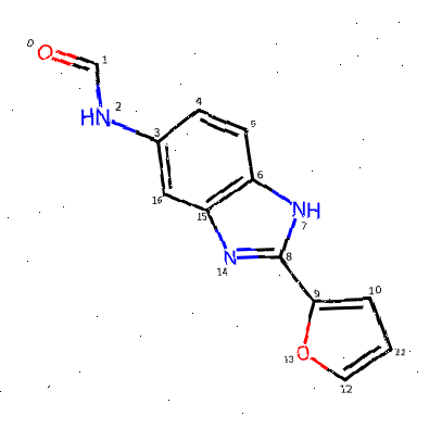 O=CNc1ccc2[nH]c(-c3ccco3)nc2c1